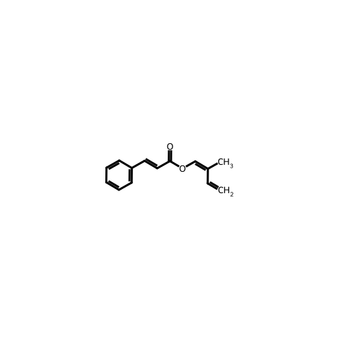 C=CC(C)=COC(=O)C=Cc1ccccc1